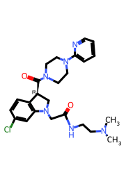 CN(C)CCNC(=O)CN1C[C@H](C(=O)N2CCN(c3ccccn3)CC2)c2ccc(Cl)cc21